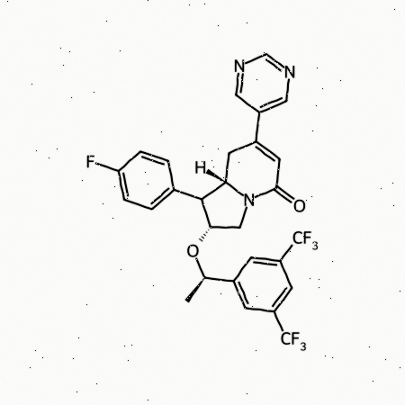 C[C@@H](O[C@H]1CN2C(=O)C=C(c3cncnc3)C[C@H]2C1c1ccc(F)cc1)c1cc(C(F)(F)F)cc(C(F)(F)F)c1